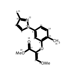 CO/C=C(\Oc1cc(-n2ccc(I)n2)ccc1C)C(=O)OC